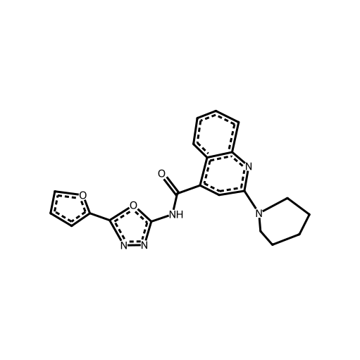 O=C(Nc1nnc(-c2ccco2)o1)c1cc(N2CCCCC2)nc2ccccc12